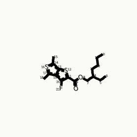 CCCCC(CC)COC(=O)c1sc2c(C)sc(C)c2c1F